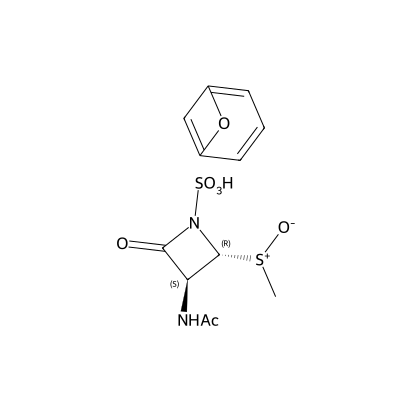 CC(=O)N[C@H]1C(=O)N(S(=O)(=O)O)[C@@H]1[S+](C)[O-].c1cc2cc(c1)O2